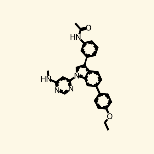 CCOc1ccc(-c2ccc3c(-c4cccc(NC(C)=O)c4)cn(-c4cc(NC)ncn4)c3c2)cc1